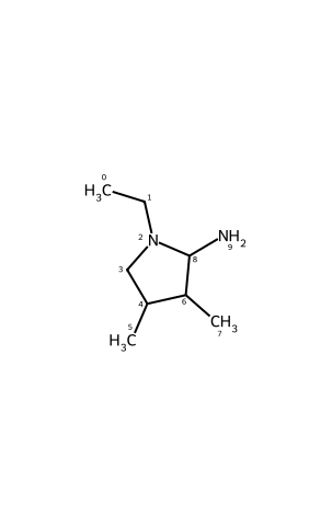 CCN1CC(C)C(C)C1N